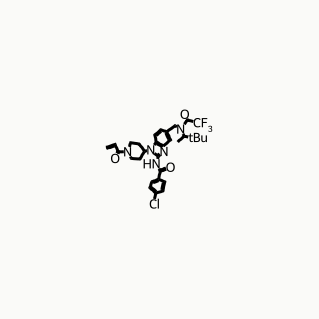 C=CC(=O)N1CCC(n2c(NC(=O)c3ccc(Cl)cc3)nc3cc(CN(C(=O)C(F)(F)F)C(C)C(C)(C)C)ccc32)CC1